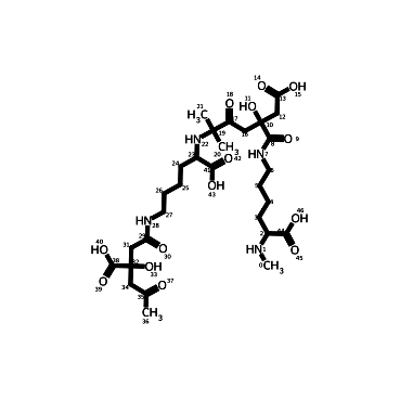 CNC(CCCCNC(=O)C(O)(CC(=O)O)CC(=O)C(C)(C)NC(CCCCNC(=O)CC(O)(CC(C)=O)C(=O)O)C(=O)O)C(=O)O